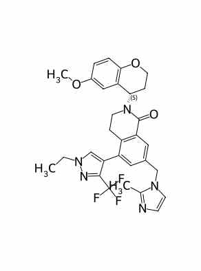 CCn1cc(-c2cc(Cn3ccnc3C)cc3c2CCN([C@H]2CCOc4ccc(OC)cc42)C3=O)c(C(F)(F)F)n1